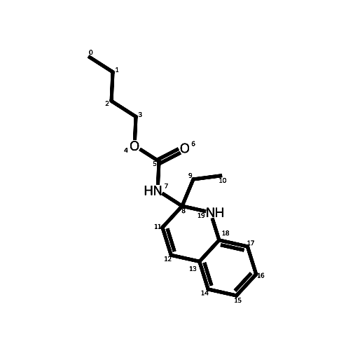 CCCCOC(=O)NC1(CC)C=Cc2ccccc2N1